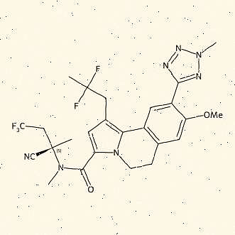 COc1cc2c(cc1-c1nnn(C)n1)-c1c(CC(C)(F)F)cc(C(=O)N(C)[C@](C)(C#N)CC(F)(F)F)n1CC2